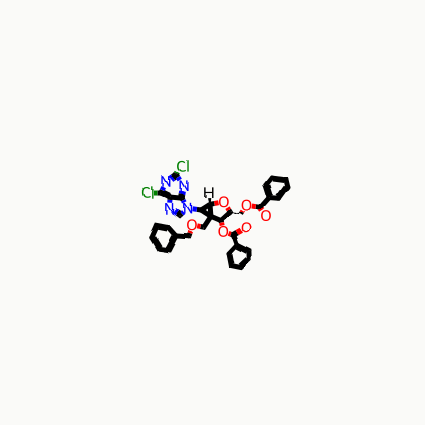 O=C(OC[C@H]1O[C@H]2C(n3cnc4c(Cl)nc(Cl)nc43)C2(COCc2ccccc2)C1OC(=O)c1ccccc1)c1ccccc1